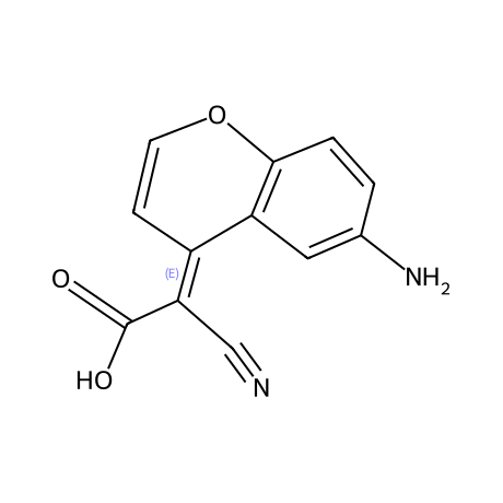 N#C/C(C(=O)O)=C1/C=COc2ccc(N)cc21